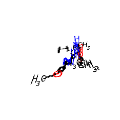 CCCCCCCOc1ccc(-c2cnc(-c3ccc(C[C@H](NC(=O)c4ccc(C(C)(C)C)s4)C4=COC(=O)C(c5c(C)n[nH]c5C)N4)cc3)nc2)cc1